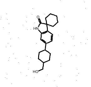 O=C1Nc2cc(C3CCC(CO)CC3)ccc2C12CCCCC2